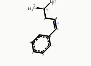 C[C@@H](O)C/C=C\c1ccccc1